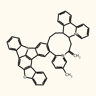 C=C1CC2C(CCc3cc4c(cc3-c3ccc(C)c[n+]31)c1c3c(cc5c6ccccc6n4c51)oc1ccccc13)c1ccccc1-c1cccc[n+]12